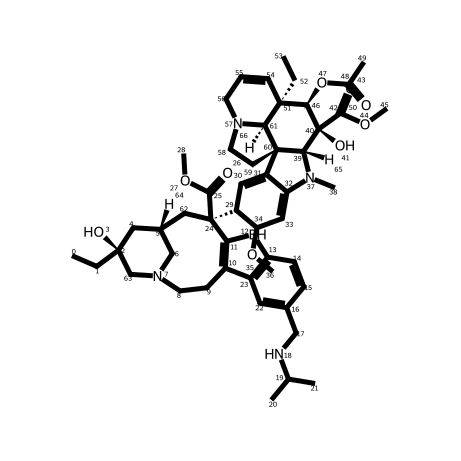 CC[C@]1(O)C[C@H]2CN(CCC3=C(Bc4ccc(CNC(C)C)cc43)[C@@](C(=O)OC)(C3C=C4C(=CC3OC)N(C)[C@H]3[C@@](O)(C(=O)OC)[C@H](OC(C)=O)[C@]5(CC)C=CCN6CC[C@]43[C@@H]65)C2)C1